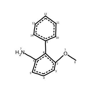 COc1cccc(N)c1-c1ccccc1